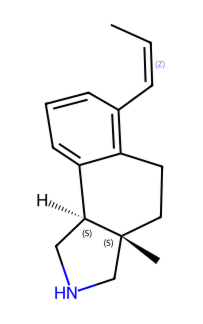 C/C=C\c1cccc2c1CC[C@]1(C)CNC[C@@H]21